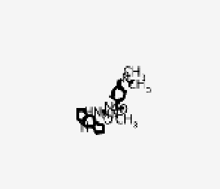 CNS(=O)(=NC(=O)Nc1c2c(nc3c1CCC3)CCC2)c1ccc(CN(C)C)cc1